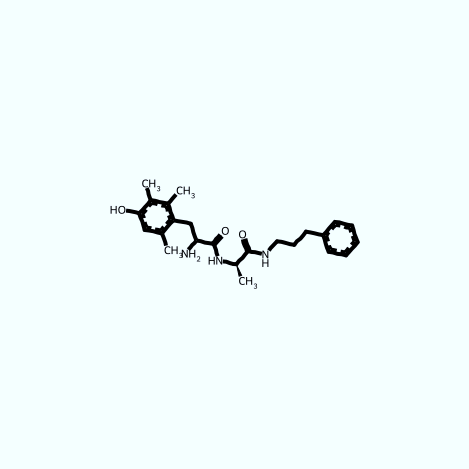 Cc1cc(O)c(C)c(C)c1CC(N)C(=O)N[C@H](C)C(=O)NCCCc1ccccc1